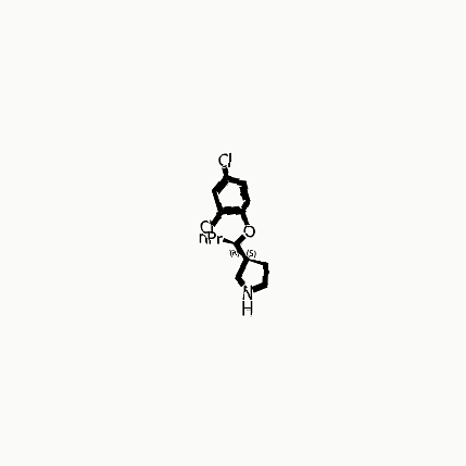 CCC[C@@H](Oc1ccc(Cl)cc1Cl)[C@H]1CCNC1